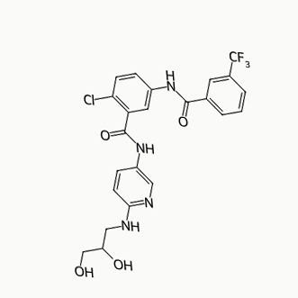 O=C(Nc1ccc(Cl)c(C(=O)Nc2ccc(NCC(O)CO)nc2)c1)c1cccc(C(F)(F)F)c1